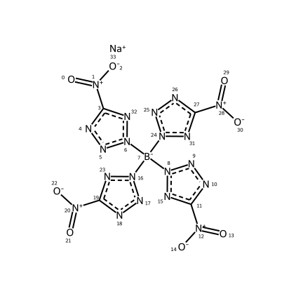 O=[N+]([O-])c1nnn([B-](n2nnc([N+](=O)[O-])n2)(n2nnc([N+](=O)[O-])n2)n2nnc([N+](=O)[O-])n2)n1.[Na+]